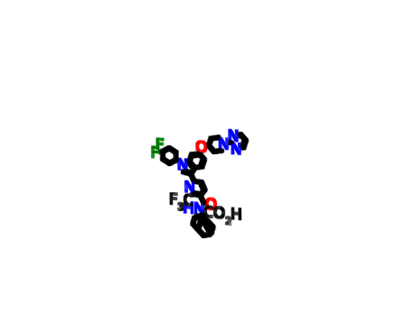 O=C(NC1(C(=O)O)C2CC3CC(C2)CC1C3)c1ccc(-c2cn(C3CCC(F)(F)CC3)c3cc(OC4CCN(c5ncccn5)CC4)ccc23)nc1C(F)(F)F